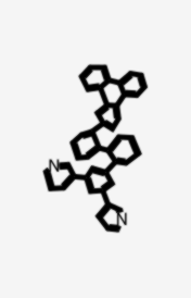 c1cncc(-c2cc(-c3cccnc3)cc(-c3ccccc3-c3ccccc3-c3ccc4c5ccccc5c5ccccc5c4c3)c2)c1